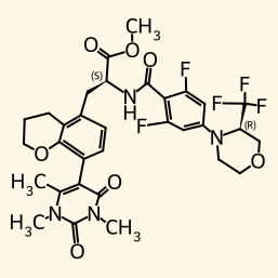 COC(=O)[C@H](Cc1ccc(-c2c(C)n(C)c(=O)n(C)c2=O)c2c1CCCO2)NC(=O)c1c(F)cc(N2CCOC[C@@H]2C(F)(F)F)cc1F